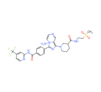 CS(=O)(=O)CCNC(=O)C1CCCN(C2=C3C=NC=C[N+]3(N)C(c3ccc(C(=O)Nc4cc(C(F)(F)F)ccn4)cc3)=N2)C1